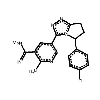 CNC(=N)c1cc(-c2nnc3n2C(c2ccc(Cl)cc2)CC3)cnc1N